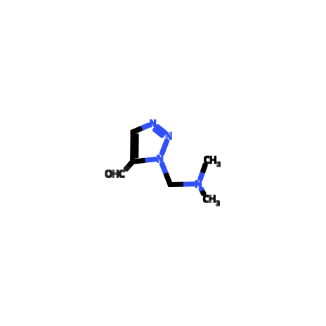 CN(C)Cn1nncc1C=O